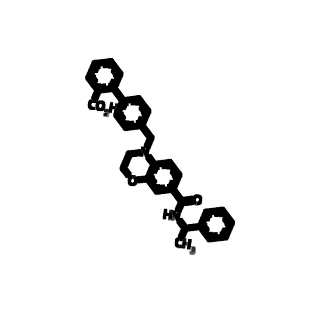 CC(NC(=O)c1ccc2c(c1)OCCN2Cc1ccc(-c2ccccc2C(=O)O)cc1)c1ccccc1